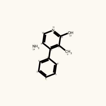 Cc1c(-c2ccccc2)ccnc1O.N